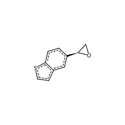 c1cc2cc([C@H]3CO3)ccc2s1